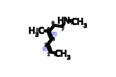 C/C=C\C=C(/C)CCNC